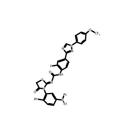 CCN(C(C)=O)c1ccc(C(C)C)c(N2C(=O)CSC2=NC(=O)Nc2ccc(-c3ncn(-c4ccc(OC(F)(F)F)cc4)n3)cc2F)c1